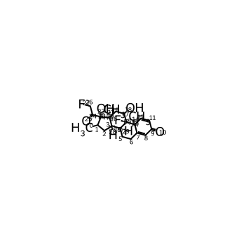 CC1C[C@H]2[C@@H]3CCC4=CC(=O)C=C[C@]4(C)[C@@]3(F)C(O)C[C@]2(C)[C@@]1(O)C(=O)CF